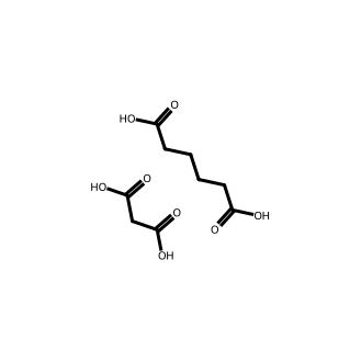 O=C(O)CC(=O)O.O=C(O)CCCCC(=O)O